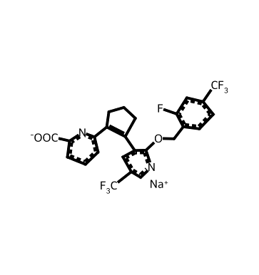 O=C([O-])c1cccc(C2=C(c3cc(C(F)(F)F)cnc3OCc3ccc(C(F)(F)F)cc3F)CCC2)n1.[Na+]